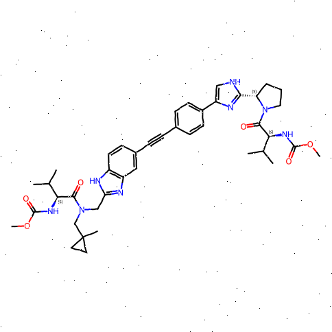 COC(=O)N[C@H](C(=O)N(Cc1nc2cc(C#Cc3ccc(-c4c[nH]c([C@@H]5CCCN5C(=O)[C@@H](NC(=O)OC)C(C)C)n4)cc3)ccc2[nH]1)CC1(C)CC1)C(C)C